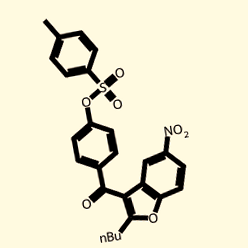 CCCCc1oc2ccc([N+](=O)[O-])cc2c1C(=O)c1ccc(OS(=O)(=O)c2ccc(C)cc2)cc1